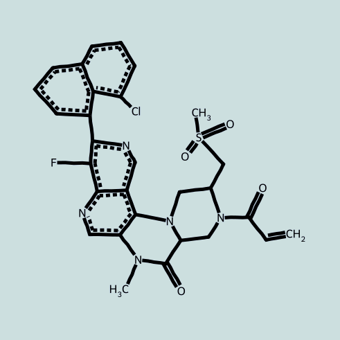 C=CC(=O)N1CC2C(=O)N(C)c3cnc4c(F)c(-c5cccc6cccc(Cl)c56)ncc4c3N2CC1CS(C)(=O)=O